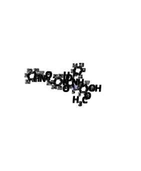 COc1cc(/C=C(\NC(=O)c2ccccc2)C(=O)Nc2ccc(CC(=O)NCc3ccccc3)cc2)ccc1O